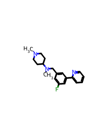 CN1CCC(N(C)Cc2cc(F)cc(-c3ccccn3)c2)CC1